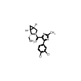 Cc1nc(C(=O)N2C[C@@H]3C[C@@H]3[C@H]2CN)c(-c2ccc(Cl)c(Cl)c2)s1